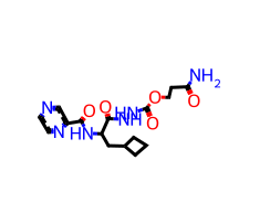 NC(=O)CCOC(=O)NNC(=O)C(CC1CCC1)NC(=O)c1cnccn1